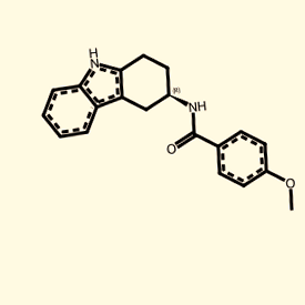 COc1ccc(C(=O)N[C@@H]2CCc3[nH]c4ccccc4c3C2)cc1